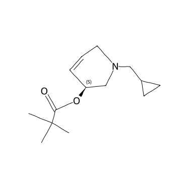 CC(C)(C)C(=O)O[C@H]1C=CCN(CC2CC2)C1